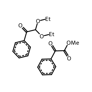 CCOC(OCC)C(=O)c1ccccc1.COC(=O)C(=O)c1ccccc1